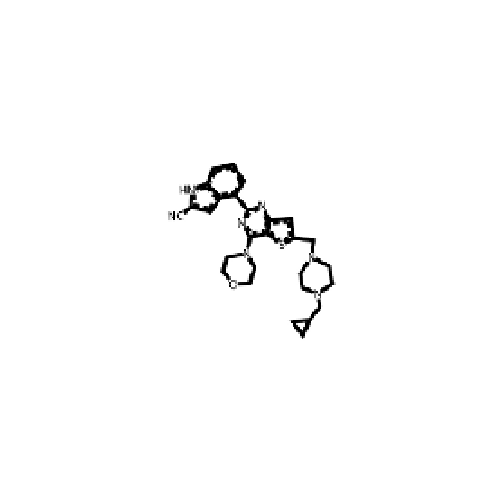 N#Cc1cc2c(-c3nc(N4CCOCC4)c4sc(CN5CCN(CC6CC6)CC5)cc4n3)cccc2[nH]1